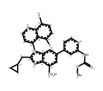 CC(C)(C)OC(=O)Nc1cc(-c2cc(C(=O)O)c3nc(CC4CC4)n(-c4ccnc5c(F)ccc(F)c45)c3c2)ccn1